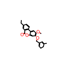 CCc1ccc2c(c1)c(=O)oc1cc(OCC3=CCCC(C)=C3)c(OC)cc12